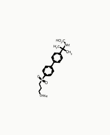 COCCCS(=O)(=O)c1ccc(-c2ccc(C(C)(C)NC(=O)O)cc2)cc1